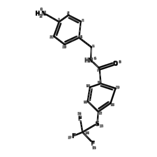 Nc1ccc(CNC(=O)c2ccc(SC(F)(F)F)cc2)cc1